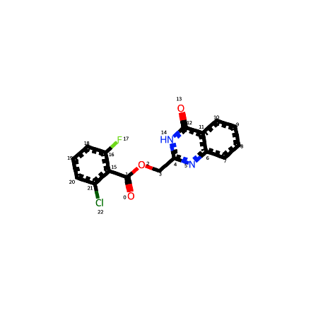 O=C(OCc1nc2ccccc2c(=O)[nH]1)c1c(F)cccc1Cl